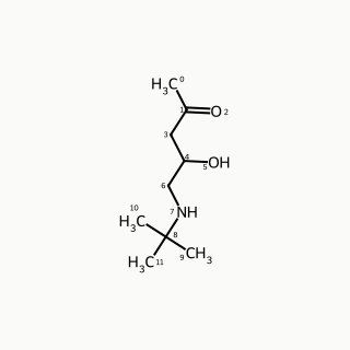 CC(=O)CC(O)CNC(C)(C)C